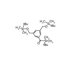 CC(C)(C)[Si](C)(C)OCc1cc(CO[Si](C)(C)C(C)(C)C)cc(C(=O)[Si](C)(C)C(C)(C)C)c1